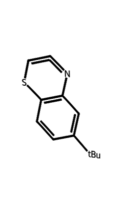 CC(C)(C)c1ccc2c(c1)N=C=CS2